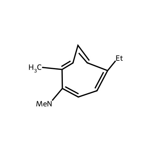 CCC1=C/C=C(NC)\C(C)=C\C=C\1